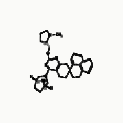 CN1CCC[C@H]1COc1nc2c(c(N3C[C@H]4CC[C@@H](C3)N4)n1)CCC1(CCc3cccc4cccc1c34)C2